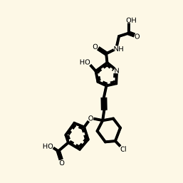 O=C(O)CNC(=O)c1ncc(C#CC2(Oc3ccc(C(=O)O)cc3)CCC(Cl)CC2)cc1O